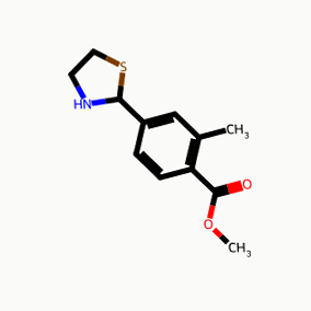 COC(=O)c1ccc(C2NCCS2)cc1C